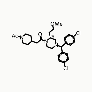 COCC[C@H]1CN(C(c2ccc(Cl)cc2)c2ccc(Cl)cc2)CCN1C(=O)CC1CCN(C(C)=O)CC1